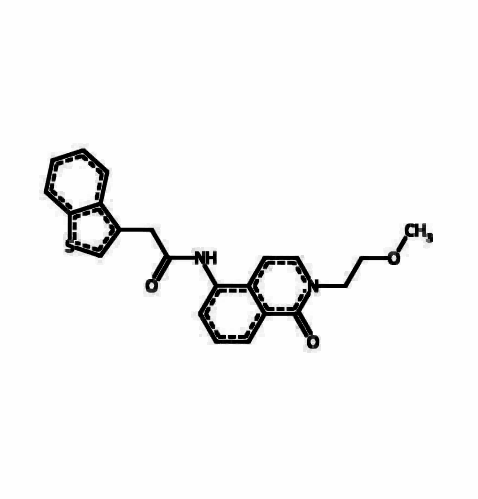 COCCn1ccc2c(NC(=O)Cc3csc4ccccc34)cccc2c1=O